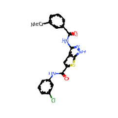 COc1cccc(C(=O)Nc2n[nH]c3sc(C(=O)Nc4cccc(Cl)c4)cc23)c1